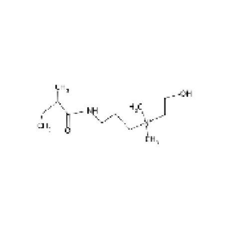 CCC(C)C(=O)NCCC[N+](C)(C)CCO